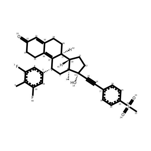 Cc1c(F)cc([C@H]2C[C@@]3(C)[C@@H](CC[C@@]3(O)C#Cc3ccc(S(C)(=O)=O)cc3)[C@@H]3CCC4=CC(=O)CCC4=C32)cc1F